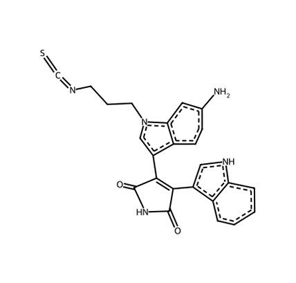 Nc1ccc2c(C3=C(c4c[nH]c5ccccc45)C(=O)NC3=O)cn(CCCN=C=S)c2c1